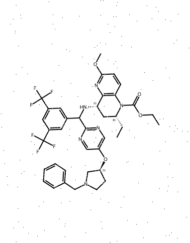 CCOC(=O)N1c2ccc(OC)nc2[C@@H](NC(c2cc(C(F)(F)F)cc(C(F)(F)F)c2)c2ncc(O[C@H]3CCN(Cc4ccccc4)C3)cn2)C[C@H]1CC